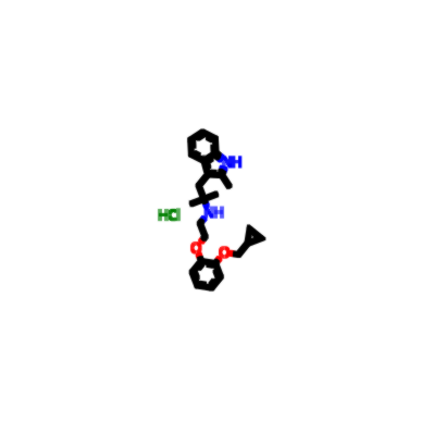 Cc1[nH]c2ccccc2c1CC(C)(C)NCCOc1ccccc1OCC1CC1.Cl